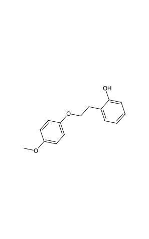 COc1ccc(OCCc2ccccc2O)cc1